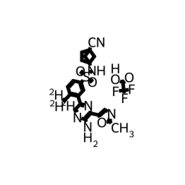 O=C(O)C(F)(F)F.[2H]C([2H])([2H])c1ccc(S(=O)(=O)NC23CCC(C#N)(C2)C3)cc1-c1cnc(N)c(-c2cnc(C)o2)n1